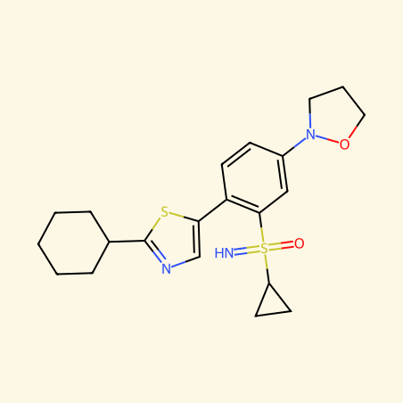 N=S(=O)(c1cc(N2CCCO2)ccc1-c1cnc(C2CCCCC2)s1)C1CC1